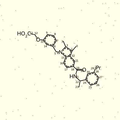 Cc1c(C)n(Cc2cccc(OCC(=O)O)c2)c2ccc(C(=O)NC(C)c3cccc(C(C)C)c3)cc12